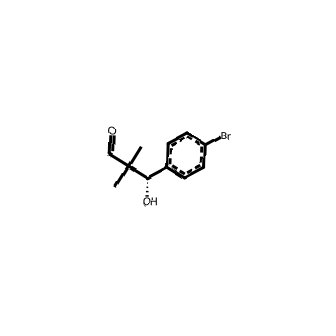 CC(C)(C=O)[C@@H](O)c1ccc(Br)cc1